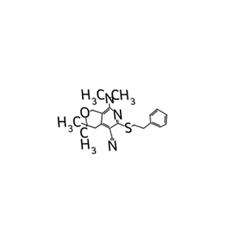 CN(C)c1nc(SCCc2ccccc2)c(C#N)c2c1COC(C)(C)C2